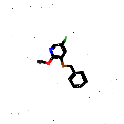 COc1ncc(F)cc1SCc1ccccc1